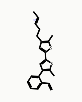 C=Cc1ccccc1-c1cc(-c2cc(CC/C=C/C)c(C)s2)sc1C